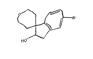 OC1Cc2cc(Br)ccc2C12CCOCC2